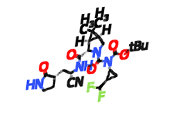 CC(C)(C)OC(=O)N(C(=O)N1C[C@H]2[C@@H]([C@H]1C(=O)N[C@H](C#N)C[C@@H]1CCNC1=O)C2(C)C)[C@@H]1C[C@H]1C(F)F